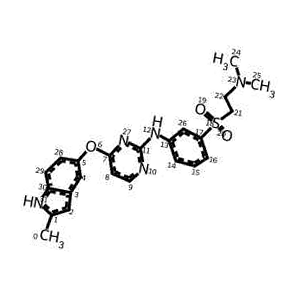 Cc1cc2cc(Oc3ccnc(Nc4cccc(S(=O)(=O)CCN(C)C)c4)n3)ccc2[nH]1